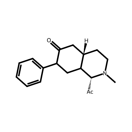 CC(=O)[C@@H]1C2CC(c3ccccc3)C(=O)C[C@@H]2CCN1C